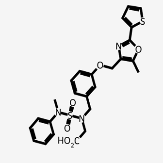 Cc1oc(-c2cccs2)nc1COc1cccc(CN(CC(=O)O)S(=O)(=O)N(C)c2ccccc2)c1